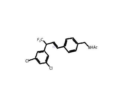 CC(=O)NCc1ccc(/C=C/C(c2cc(Cl)cc(Cl)c2)C(F)(F)F)cc1